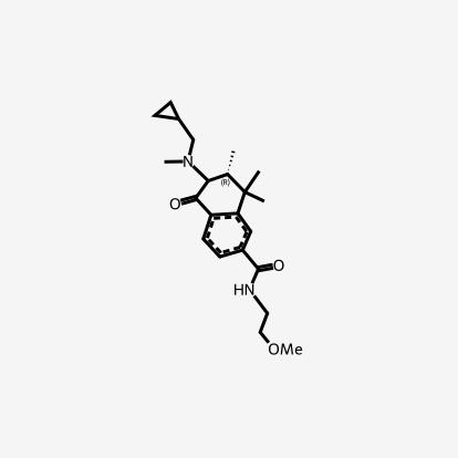 COCCNC(=O)c1ccc2c(c1)C(C)(C)[C@@H](C)C(N(C)CC1CC1)C2=O